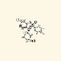 Cc1ccc(S(=O)(=O)Oc2cc(Cl)nnc2Oc2cccc(Cl)c2)cc1